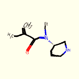 C=C(C)C(=O)N(CC)[C@H]1CCNC1